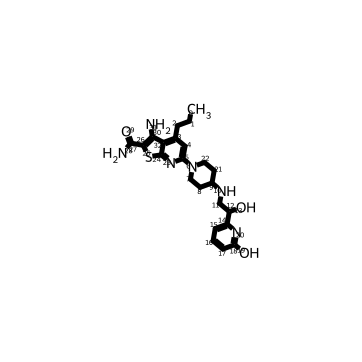 CCCc1cc(N2CCC(NCC(O)c3cccc(O)n3)CC2)nc2sc(C(N)=O)c(N)c12